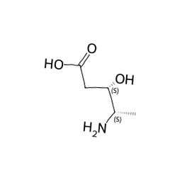 C[C@H](N)[C@@H](O)CC(=O)O